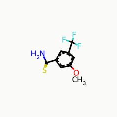 COc1cc(C(N)=S)cc(C(F)(F)F)c1